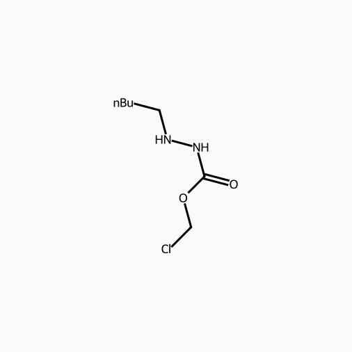 CCCCCNNC(=O)OCCl